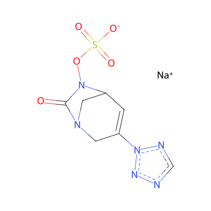 O=C1N2CC(n3ncnn3)=CC(C2)N1OS(=O)(=O)[O-].[Na+]